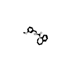 COc1cccc(CNC(=O)N2CCCCc3ccccc32)c1